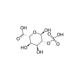 O=C(O)[C@@H]1O[C@@H](O)[C@H](OS(=O)(=O)O)[C@@H](O)[C@H]1O